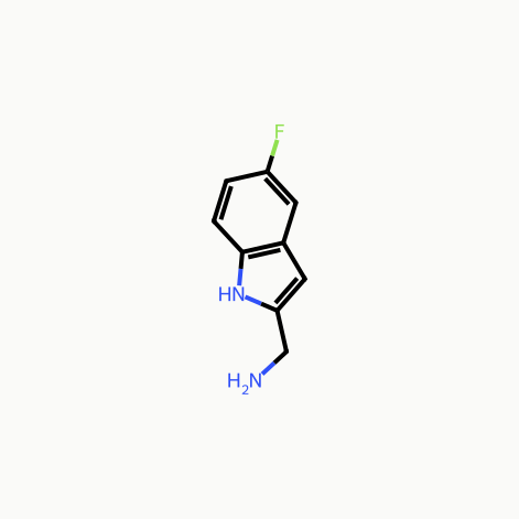 NCc1cc2cc(F)ccc2[nH]1